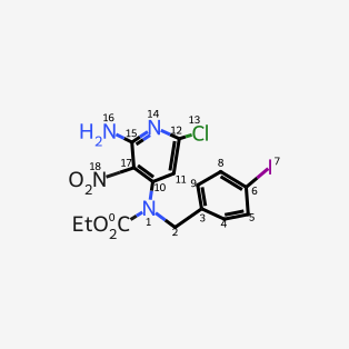 CCOC(=O)N(Cc1ccc(I)cc1)c1cc(Cl)nc(N)c1[N+](=O)[O-]